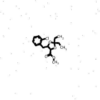 CCC1(CC)OC(Cc2ccccc2Cl)C(C(=O)OC)O1